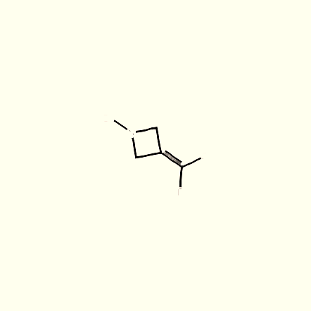 CCN1CC(=C(F)F)C1